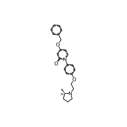 C[C@@H]1CCCN1CCOc1ccc(-n2ccc(OCc3ccccc3)cc2=O)cc1